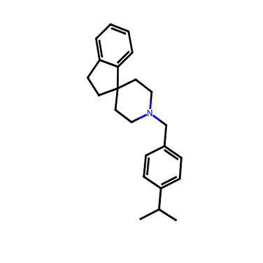 CC(C)c1ccc(CN2CCC3(CCc4ccccc43)CC2)cc1